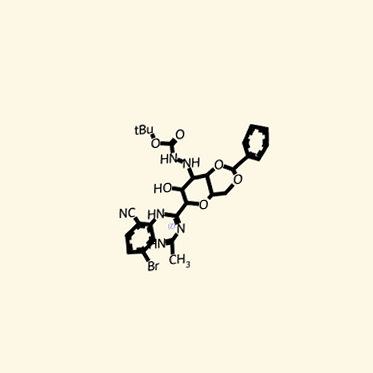 CC(=N)/N=C(\Nc1cc(Br)ccc1C#N)C1OC2COC(c3ccccc3)OC2C(NNC(=O)OC(C)(C)C)C1O